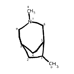 CC1CC2CC1CN(C)C2